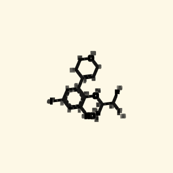 O=[N+]([O-])c1cc(F)cc(C2=CCOCC2)c1OC(F)C(F)F